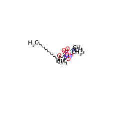 CCCCCCCCCCCCCCCC(C)C(=O)CC(CC(=O)P(O)C(=O)CC[N+](C)(C)C)NC(C)=O